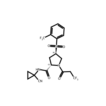 N#CC1(NC(=O)[C@@H]2C[C@@H](S(=O)(=O)c3ccccc3C(F)(F)F)CN2C(=O)CC(F)(F)F)CC1